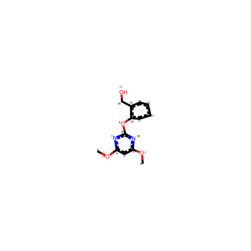 COc1cc(OC)nc(Oc2ccccc2CO)n1